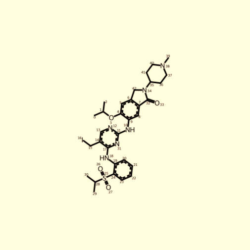 CC(C)Oc1cc2c(cc1Nc1ncc(CI)c(Nc3ccccc3S(=O)(=O)C(C)C)n1)C(=O)N(C1CCN(C)CC1)C2